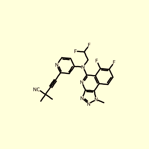 Cn1nnc2nc(N(CC(F)F)c3ccnc(C#CC(C)(C)C#N)c3)c3c(F)c(F)ccc3c21